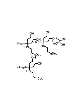 CCCCCCCCCCCCNC(CCO)(CCO)CCCCCCC.CCCCCCCCCCCCNC(CCO)(CCO)CCCCCCC.CCCCCCCCCCCCNC(CCO)(CCO)CCCCCCC.O=P(O)(O)O